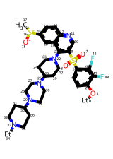 CCOc1ccc(S(=O)(=O)c2cnc3ccc([S+](C)[O-])cc3c2N2CCC(N3CCN(C4CCN(CC)CC4)CC3)CC2)c(F)c1F